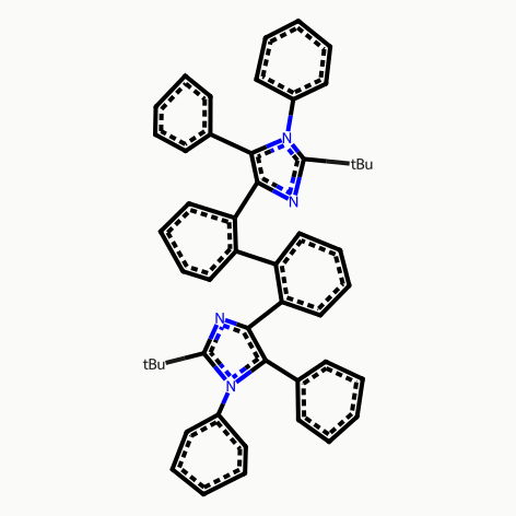 CC(C)(C)c1nc(-c2ccccc2-c2ccccc2-c2nc(C(C)(C)C)n(-c3ccccc3)c2-c2ccccc2)c(-c2ccccc2)n1-c1ccccc1